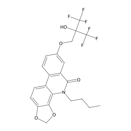 CCCCn1c(=O)c2cc(OCC(O)(C(F)(F)F)C(F)(F)F)ccc2c2ccc3c(c21)OCO3